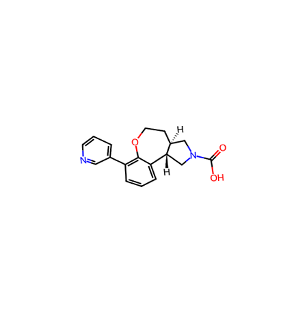 O=C(O)N1C[C@@H]2CCOc3c(-c4cccnc4)cccc3[C@H]2C1